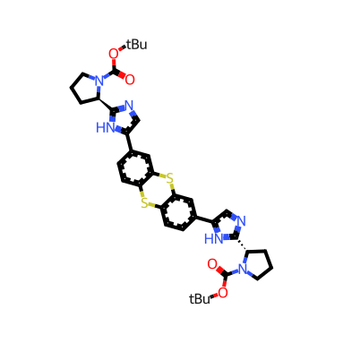 CC(C)(C)OC(=O)N1CCC[C@@H]1c1ncc(-c2ccc3c(c2)Sc2cc(-c4cnc([C@@H]5CCCN5C(=O)OC(C)(C)C)[nH]4)ccc2S3)[nH]1